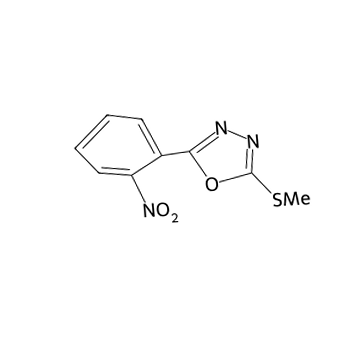 CSc1nnc(-c2ccccc2[N+](=O)[O-])o1